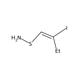 CC/C(I)=C\SN